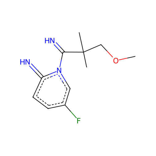 COCC(C)(C)C(=N)n1cc(F)ccc1=N